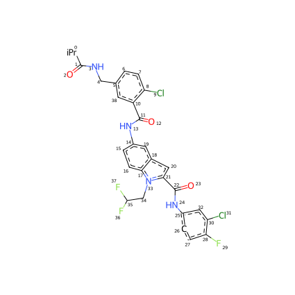 CC(C)C(=O)NCc1ccc(Cl)c(C(=O)Nc2ccc3c(c2)cc(C(=O)Nc2ccc(F)c(Cl)c2)n3CC(F)F)c1